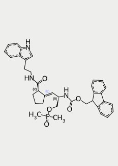 CP(C)(=O)OC[C@@H](/C=C1\CCC[C@H]1C(=O)NCCc1c[nH]c2ccccc12)NC(=O)OCC1c2ccccc2-c2ccccc21